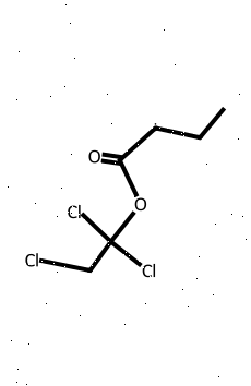 CC[CH]C(=O)OC(Cl)(Cl)CCl